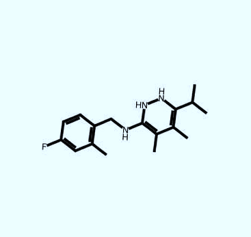 CC1=C(NCc2ccc(F)cc2C)NNC(C(C)C)=C1C